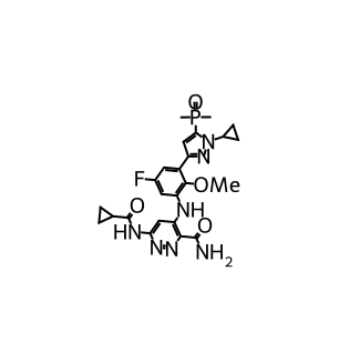 COc1c(Nc2cc(NC(=O)C3CC3)nnc2C(N)=O)cc(F)cc1-c1cc(P(C)(C)=O)n(C2CC2)n1